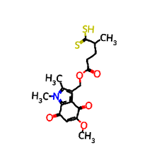 COC1=CC(=O)c2c(c(COC(=O)CCC(C)C(=S)S)c(C)n2C)C1=O